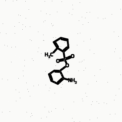 Cc1ccccc1S(=O)(=O)Oc1ccccc1N